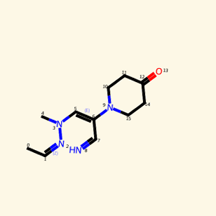 C/C=N\N(C)/C=C(\C=N)N1CCC(=O)CC1